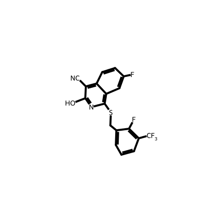 N#Cc1c(O)nc(SCc2cccc(C(F)(F)F)c2F)c2cc(F)ccc12